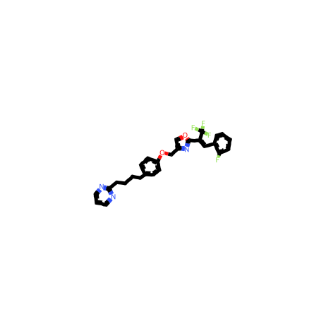 Fc1ccccc1C=C(c1nc(COc2ccc(CCCCc3ncccn3)cc2)co1)C(F)(F)F